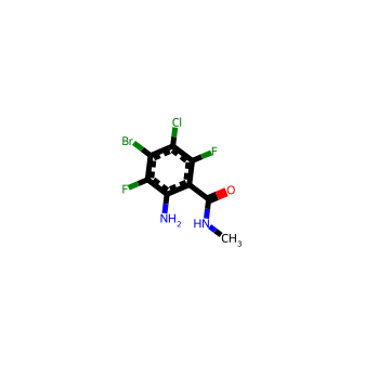 CNC(=O)c1c(N)c(F)c(Br)c(Cl)c1F